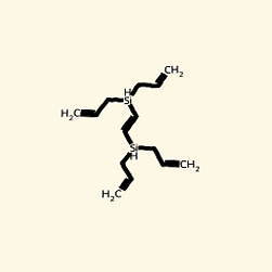 C=CC[SiH](C=C[SiH](CC=C)CC=C)CC=C